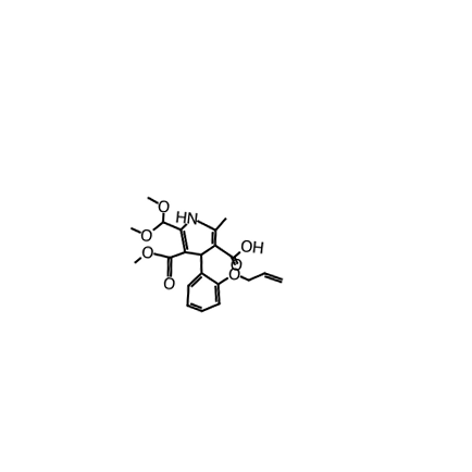 C=CCOc1ccccc1C1C(C(=O)O)=C(C)NC(C(OC)OC)=C1C(=O)OC